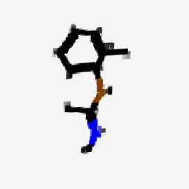 C/N=C(\C)Sc1ccccc1C